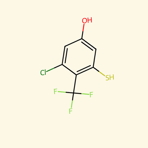 Oc1cc(S)c(C(F)(F)F)c(Cl)c1